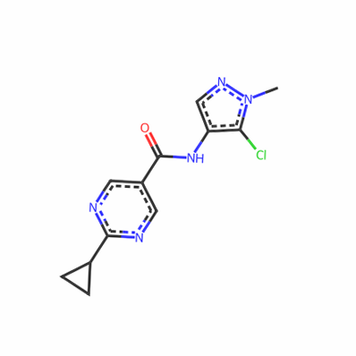 Cn1ncc(NC(=O)c2cnc(C3CC3)nc2)c1Cl